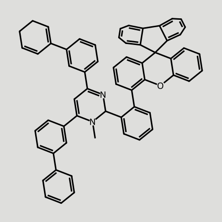 CN1C(c2cccc(-c3ccccc3)c2)=CC(c2cccc(C3=CCCC=C3)c2)=NC1c1ccccc1-c1cccc2c1Oc1ccccc1C21c2ccccc2-c2ccccc21